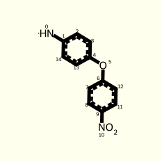 [NH]c1ccc(Oc2ccc([N+](=O)[O-])cc2)cc1